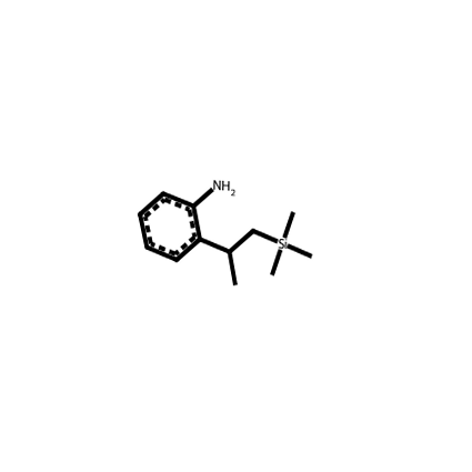 CC(C[Si](C)(C)C)c1ccccc1N